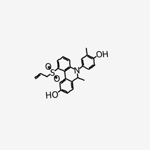 C=CCS(=O)(=O)c1cccc2c1-c1cc(O)ccc1C(C)N2c1ccc(O)c(C)c1